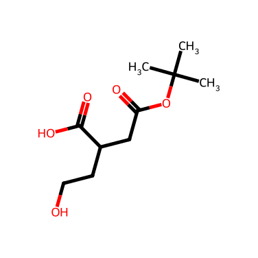 CC(C)(C)OC(=O)CC(CCO)C(=O)O